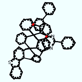 c1ccc(-c2cccc(-c3cc(-c4cccc5c4C4(c6ccccc6C6(c7ccccc7-c7ccccc76)c6ccccc64)c4ccc6sc7ccccc7c6c4-5)nc(-c4ccccc4)n3)c2)cc1